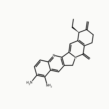 C=C1CCC2=C(C=C3c4nc5ccc(N)c(N)c5cc4CN3C2=C)[C@H]1CC